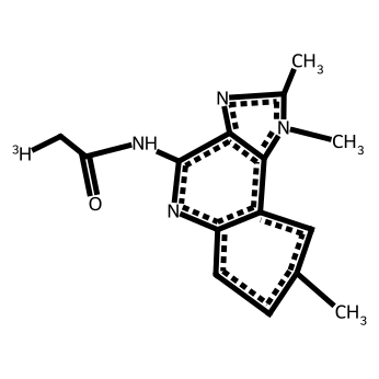 [3H]CC(=O)Nc1nc2ccc(C)cc2c2c1nc(C)n2C